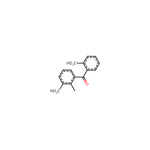 Cc1c(C(=O)O)cccc1C(=O)c1ccccc1C(=O)O